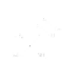 CC(C)=O.CC(C)=O.CCCCC(N)(N)C(C)=O